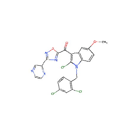 COc1ccc2c(c1)c(C(=O)c1nc(-c3cnccn3)no1)c(Cl)n2Cc1ccc(Cl)cc1Cl